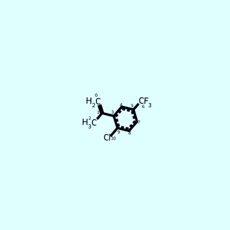 C=C(C)c1cc(C(F)(F)F)ccc1Cl